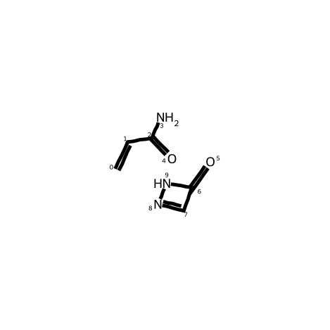 C=CC(N)=O.O=C1C=NN1